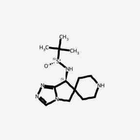 CC(C)(C)[S@@+]([O-])N[C@@H]1c2nncn2CC12CCNCC2